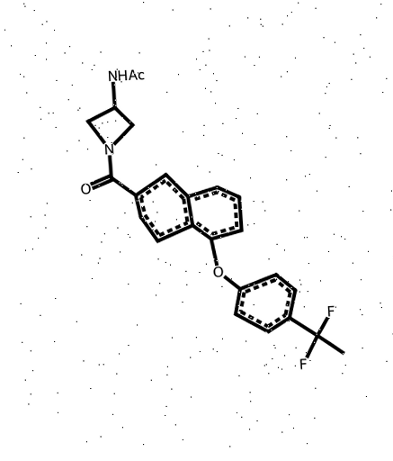 CC(=O)NC1CN(C(=O)c2ccc3c(Oc4ccc(C(C)(F)F)cc4)cccc3c2)C1